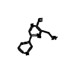 CC(C)Cc1nc(-c2cccnc2)cnc1Cl